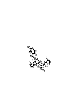 Cc1cccc(Cl)c1CNC(=O)[C@@H]1C[C@@H](N)CN1C(=O)[C@@H](O)[C@H](Cc1ccccc1)NC(=O)c1cccc(O)c1C